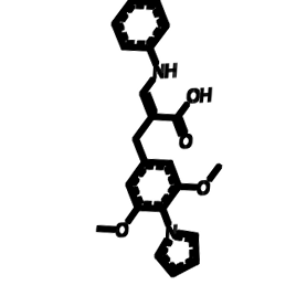 COc1cc(CC(=CNc2ccccc2)C(=O)O)cc(OC)c1-n1cccc1